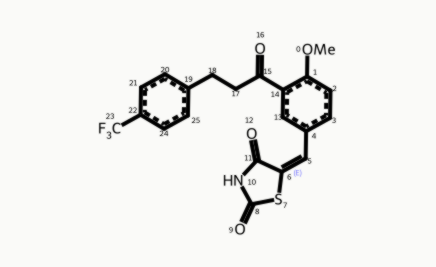 COc1ccc(/C=C2/SC(=O)NC2=O)cc1C(=O)CCc1ccc(C(F)(F)F)cc1